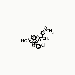 CC(=O)N1CCC([C@H](C)C(=O)Nc2cnc3c(c2)N(S(=O)(=O)c2cccc(Cl)c2)C[C@H](CO)O3)C1